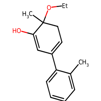 CCOC1(C)CC=C(c2ccccc2C)C=C1O